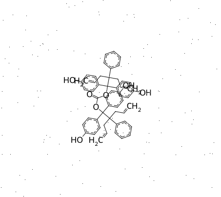 C=CCC(CC=C)(c1ccccc1)C(OC(=O)OC(c1ccc(O)cc1)(c1ccc(O)cc1)C(CC=C)(CC=C)c1ccccc1)(c1ccc(O)cc1)c1ccc(O)cc1